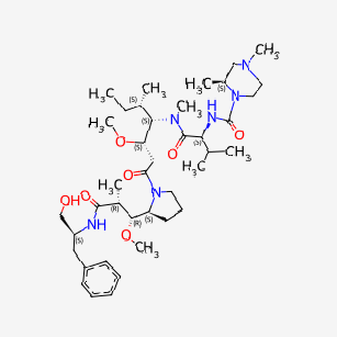 CC[C@H](C)[C@@H]([C@H](CC(=O)N1CCC[C@H]1[C@H](OC)[C@@H](C)C(=O)N[C@H](CO)Cc1ccccc1)OC)N(C)C(=O)[C@@H](NC(=O)N1CCN(C)C[C@@H]1C)C(C)C